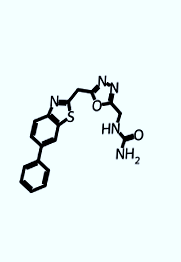 NC(=O)NCc1nnc(Cc2nc3ccc(-c4ccccc4)cc3s2)o1